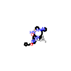 CC1(C)C[C@@H]2CCC(c3ccccn3)Nc3cccc(n3)SNC(=O)c3ccc(-n4ccc(OCCC5CCCC5)n4)nc3N1C2